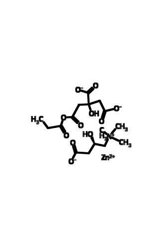 CCC(=O)OC(=O)CC(O)(CC(=O)[O-])C(=O)[O-].C[N+](C)(C)C[C@H](O)CC(=O)[O-].[Zn+2]